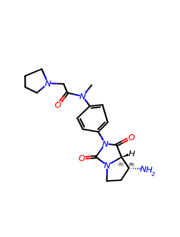 CN(C(=O)CN1CCCC1)c1ccc(N2C(=O)[C@@H]3[C@H](N)CCN3C2=O)cc1